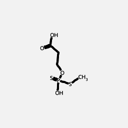 CSP(O)(=S)OCCC(=O)O